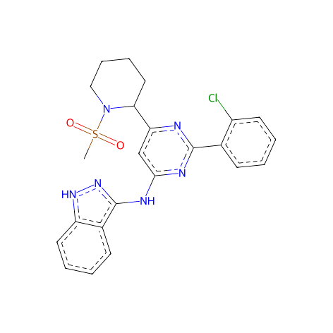 CS(=O)(=O)N1CCCCC1c1cc(Nc2n[nH]c3ccccc23)nc(-c2ccccc2Cl)n1